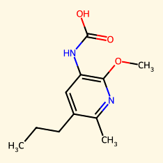 CCCc1cc(NC(=O)O)c(OC)nc1C